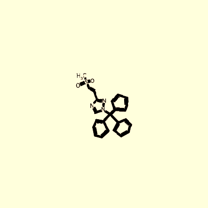 CS(=O)(=O)/C=C/c1ncn(C(c2ccccc2)(c2ccccc2)c2ccccc2)n1